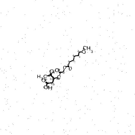 COCCCCCC(=O)OCC(=O)OC(CC(=O)O)C(C)=O